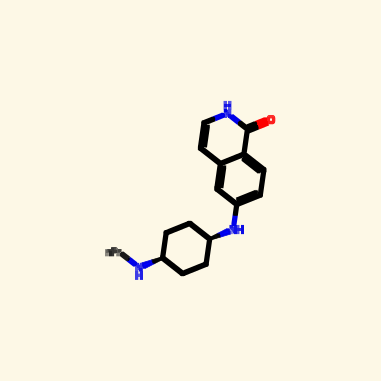 CCCN[C@H]1CC[C@@H](Nc2ccc3c(=O)[nH]ccc3c2)CC1